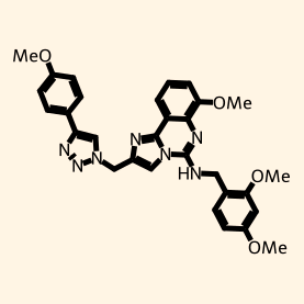 COc1ccc(-c2cn(Cc3cn4c(NCc5ccc(OC)cc5OC)nc5c(OC)cccc5c4n3)nn2)cc1